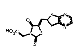 O=C(O)CN1C(=O)/C(=C/C2Cc3nccnc3S2)SC1=S